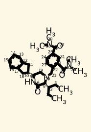 CCC(CC)[C@@H]1C(=O)N[C@H](C2Cc3ccccc3C2)CN1Cc1ccc(C(=O)N(C)C)cc1C(=O)N(C)C